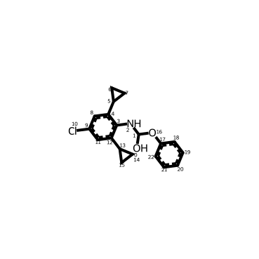 OC(Nc1c(C2CC2)cc(Cl)cc1C1CC1)Oc1ccccc1